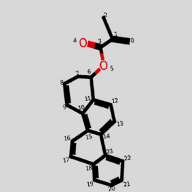 C=C(C)C(=O)OC1CC=Cc2c1ccc1c2ccc2ccccc21